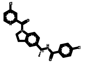 C[C@@H](NC(=O)c1ccc(Cl)cc1)c1ccc2c(c1)CCN2C(=O)c1cc(Cl)ccn1